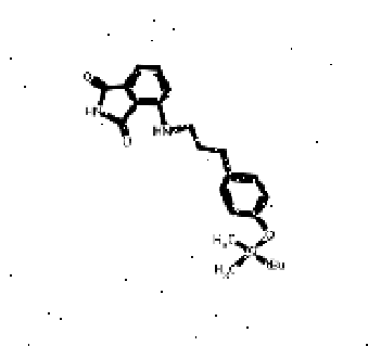 CC(C)(C)[Si](C)(C)Oc1ccc(CCCNc2cccc3c2C(=O)NC3=O)cc1